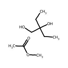 CCC(O)(CC)CO.COC(C)=O